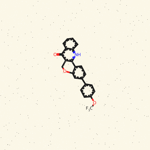 O=c1c2c([nH]c3ccccc13)-c1ccc(-c3ccc(OC(F)(F)F)cc3)cc1OC2